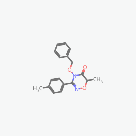 Cc1ccc(C2=NOC(C)C(=O)N2OCc2ccccc2)cc1